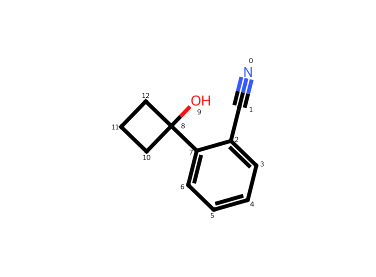 N#Cc1ccccc1C1(O)CCC1